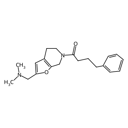 CN(C)Cc1cc2c(o1)CN(C(=O)CCCc1ccccc1)CC2